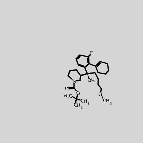 COCCCC[C@@](O)(c1cccc(F)c1C1=CCCCC1)C1CCCN(C(=O)OC(C)(C)C)C1